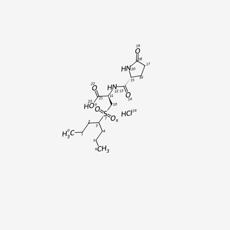 CCCC(CCC)S(=O)(=O)C[C@H](NC(=O)[C@H]1CCC(=O)N1)C(=O)O.Cl